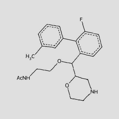 CC(=O)NCCOC(c1cccc(F)c1-c1cccc(C)c1)C1CNCCO1